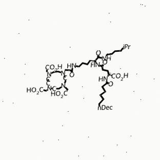 CCCCCCCCCCCCCCCC(=O)N[C@@H](CCC(=O)N[C@@H](CCCCNC(=O)CN1CCN(CC(=O)O)CCN(CC(=O)O)CCN(CC(=O)O)CC1)C(=O)NCCCCC(C)C)C(=O)O